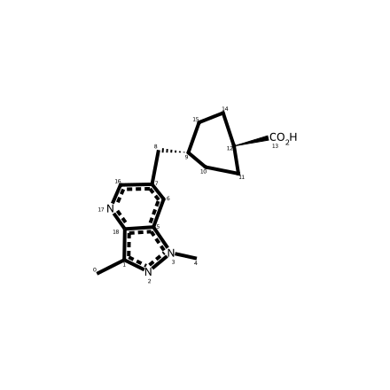 Cc1nn(C)c2cc(C[C@H]3CC[C@H](C(=O)O)CC3)cnc12